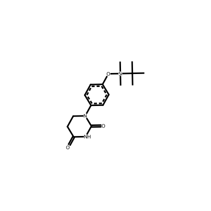 CC(C)(C)[Si](C)(C)Oc1ccc(N2CCC(=O)NC2=O)cc1